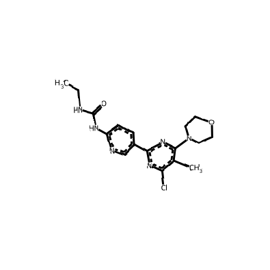 CCNC(=O)Nc1ccc(-c2nc(Cl)c(C)c(N3CCOCC3)n2)cn1